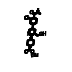 CN(C)C(=O)c1ccc(-c2cnc(N3CCN(C(=O)OC(C)(C)C)CC3)c(CO)c2)cc1Cl